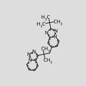 CC(C)(C)c1nc2cc(CC(C)(C)c3nnn4ccccc34)ccn2n1